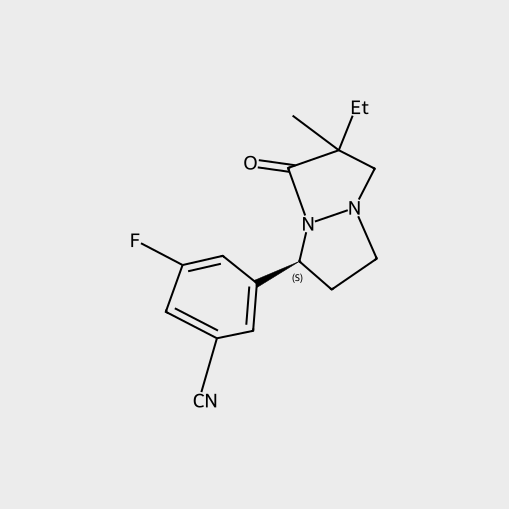 CCC1(C)CN2CC[C@@H](c3cc(F)cc(C#N)c3)N2C1=O